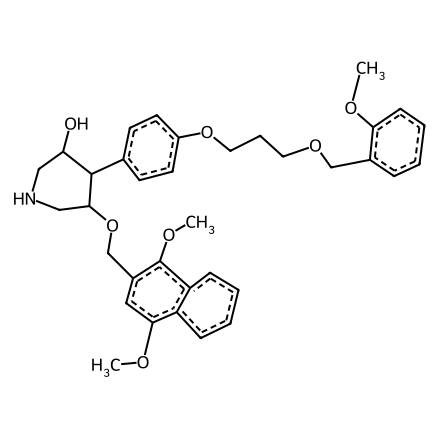 COc1ccccc1COCCCOc1ccc(C2C(O)CNCC2OCc2cc(OC)c3ccccc3c2OC)cc1